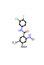 CCNc1cc(NC)c([N+](=O)[O-])cc1C(=O)Nc1ccc(F)c(Cl)c1